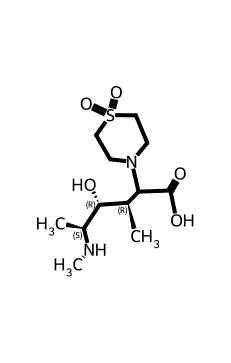 CN[C@@H](C)[C@H](O)[C@H](C)C(C(=O)O)N1CCS(=O)(=O)CC1